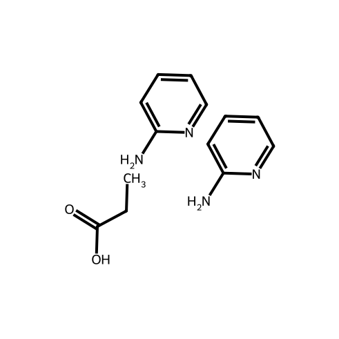 CCC(=O)O.Nc1ccccn1.Nc1ccccn1